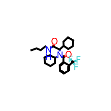 CCCCNC(=O)C(C1CCCCC1)N(C(=O)c1ccccc1C(F)(F)F)C1CCCCC1